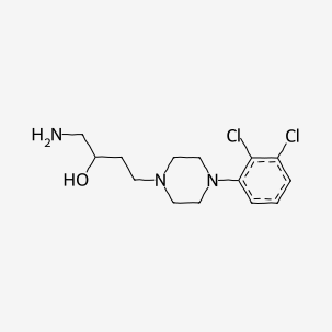 NCC(O)CCN1CCN(c2cccc(Cl)c2Cl)CC1